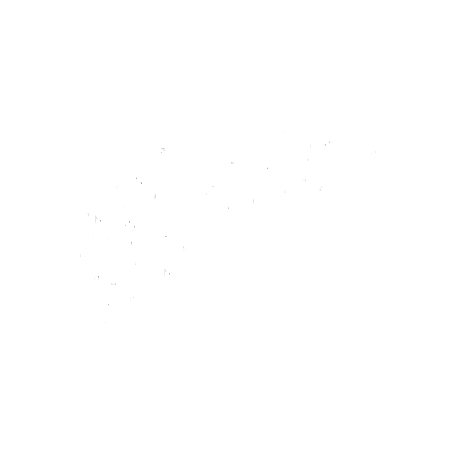 N#CCC1(Cn2c(CN3CCC(Oc4cccc(COc5ccc(Cl)cc5F)c4)CC3)nc3ccc(CC(=O)O)cc32)CC1